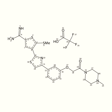 CSc1sc(C(=N)N)cc1-c1nc(-c2cccc(OCC(=O)N3CCN(C)CC3)c2)cs1.O=C(O)C(F)(F)F